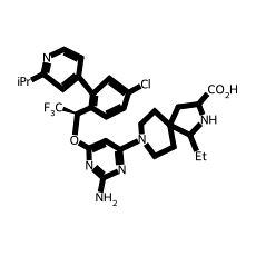 CCC1NC(C(=O)O)CC12CCN(c1cc(O[C@H](c3ccc(Cl)cc3-c3ccnc(C(C)C)c3)C(F)(F)F)nc(N)n1)CC2